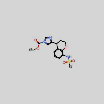 CCS(=O)(=O)Nc1cccc2c1OCCC2c1cn(C(=O)OC(C)(C)C)cn1